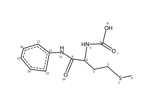 CSCCC(NC(=O)O)C(=O)Nc1ccccc1